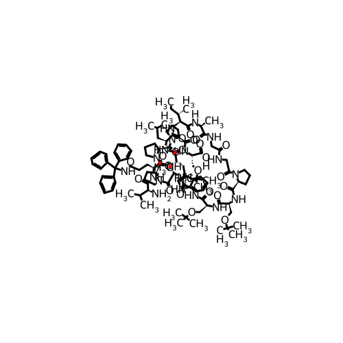 CC[C@H](C)[C@H](NC(=O)[C@H](CC(C)C)NC(=O)[C@H](Cc1c[nH]c2ccccc12)NC(=O)[C@H](CCC(=O)NC(c1ccccc1)(c1ccccc1)c1ccccc1)NC(=O)[C@@H](N)C(C)C)C(=O)N[C@@H](C)C(=O)NCC(=O)NCC(=O)N1CCC[C@H]1C(=O)N[C@@H](COC(C)(C)C)C(=O)N[C@@H](COC(C)(C)C)C(=O)NCC(=O)N[C@@H](C)C(=O)N1CCC[C@H]1C(=O)N1CCC[C@H]1C(=O)N1CCC[C@H]1C(=O)N[C@@H](COC(C)(C)C)C(=O)O